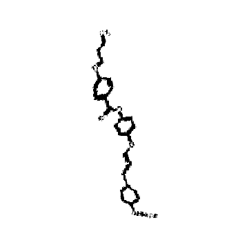 C=CCCOc1ccc(C(=O)Oc2ccc(OCCCC3CCC(CCCCCCC)CC3)cc2)cc1